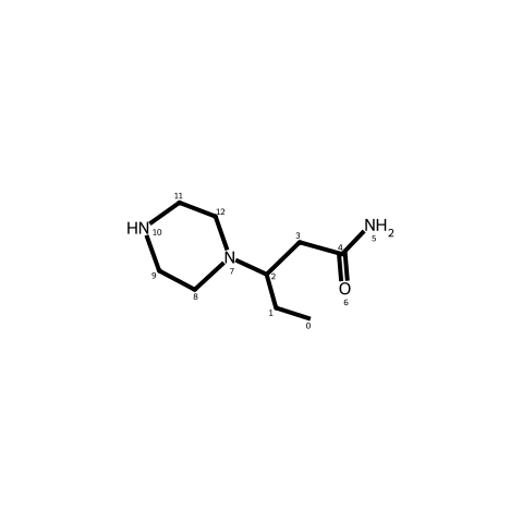 CCC(CC(N)=O)N1CCNCC1